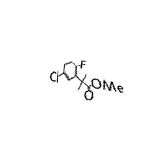 COC(=O)C(C)(C)c1cc(Cl)ccc1F